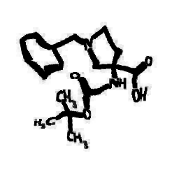 CC(C)(C)OC(=O)NC1(C(=O)O)CCN(Cc2ccccc2)C1